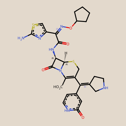 Nc1nc(/C(=N/OC2CCCC2)C(=O)N[C@@H]2C(=O)N3C(C(=O)O)=C(/C(=C4\CCNC4)c4cc[nH]c(=O)c4)CS[C@H]23)cs1